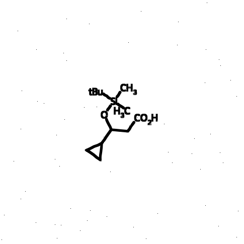 CC(C)(C)[Si](C)(C)OC(CC(=O)O)C1CC1